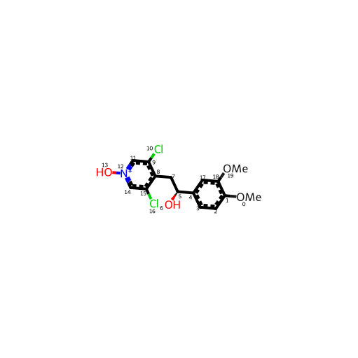 COc1ccc([C@@H](O)Cc2c(Cl)c[n+](O)cc2Cl)cc1OC